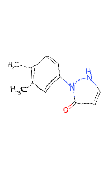 Cc1ccc(-n2[nH]ccc2=O)cc1C